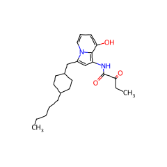 CCCCCC1CCC(Cc2cc(NC(=O)C(=O)CC)c3c(O)cccn23)CC1